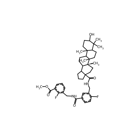 COC(=O)c1cccc(CNC(=O)c2ccc(F)c(CNC(=O)C34CCCC3C3CCC5C6(C)CCC(O)C(C)(C)C6CCC5(C)[C@]3(C)CC4)c2)c1F